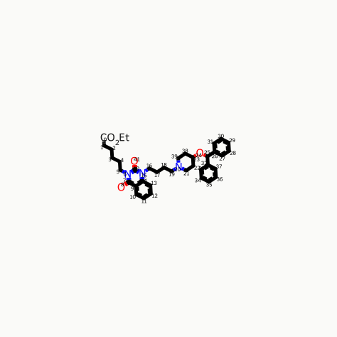 CCOC(=O)CCCCCn1c(=O)c2ccccc2n(CCCCN2CCC(OC(c3ccccc3)c3ccccc3)CC2)c1=O